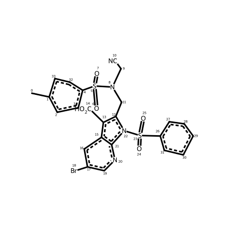 Cc1ccc(S(=O)(=O)N(CC#N)Cc2c(C(=O)O)c3cc(Br)cnc3n2S(=O)(=O)c2ccccc2)cc1